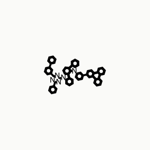 c1ccc(-c2cccc(-c3nc(-c4ccccc4)nc(-n4c5ccccc5c5c4ccc4c6ccccc6n(-c6cccc(-c7ccc8c9ccccc9c9ccccc9c8c7)c6)c45)n3)c2)cc1